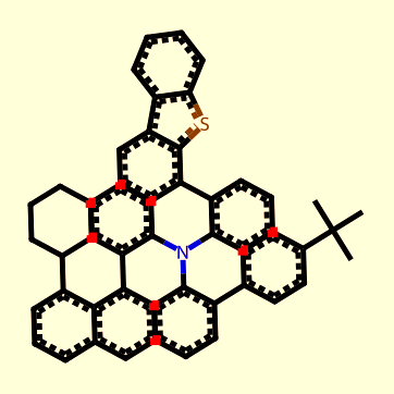 CC(C)(C)c1ccc(-c2ccccc2N(c2ccccc2-c2cccc3c2sc2ccccc23)c2ccccc2-c2cccc3cccc(C4CCCCC4)c23)cc1